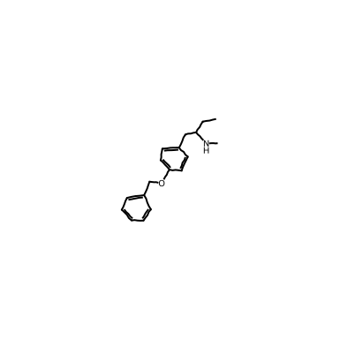 CCC(Cc1ccc(OCc2ccccc2)cc1)NC